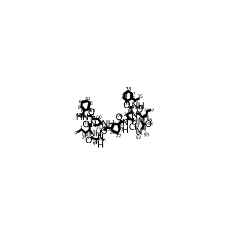 CC[C@H](C)C(NC(=O)[C@H](C)NC)C(=O)N1C[C@@H](NC(=O)c2cccc(C(=O)N[C@H]3C[C@@H](C(=O)NC(C)c4ccccc4)N(C(=O)C(NC(=O)[C@H](C)N(C)Cl)[C@@H](C)CC)C3)c2)C[C@H]1C(=O)N[C@H](C)c1ccccc1